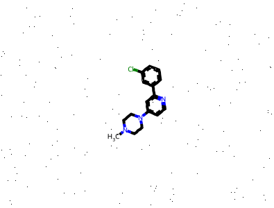 CN1CCN(c2ccnc(-c3cccc(Cl)c3)c2)CC1